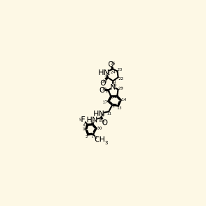 Cc1ccc(F)c(NC(=O)NCc2ccc3c(c2)C(=O)N(C2CCC(=O)NC2=O)C3)c1